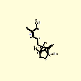 C=C1[C@@H]2CC[C@@H](C2)[C@]1(C)CC/C=C(/C)CO